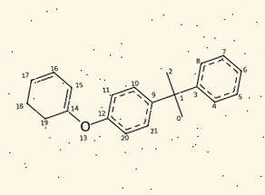 CC(C)(c1ccccc1)c1ccc(OC2=CC=CCC2)cc1